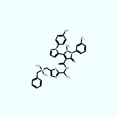 CC(NC(=O)c1c(-c2ccnn2-c2ccc(C#N)cc2)n(C)n(-c2cccc(C(F)(F)F)c2)c1=O)c1ncc(C[N+](C)(C)Cc2ccccc2)o1